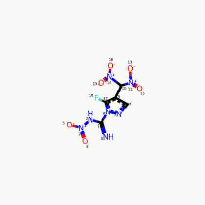 N=C(N[N+](=O)[O-])n1ncc(C([N+](=O)[O-])[N+](=O)[O-])c1F